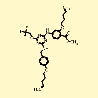 C=CCCCOc1ccc(CNc2nc(Nc3ccc(C(=O)OC)c(OCCCC=C)c3)nc(OCC(F)(F)F)n2)cc1